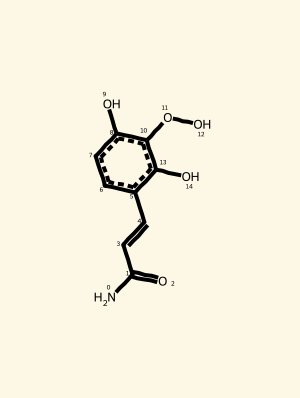 NC(=O)C=Cc1ccc(O)c(OO)c1O